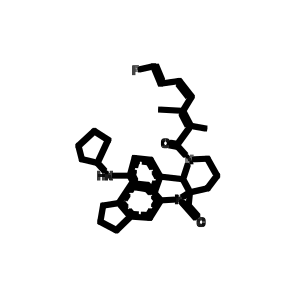 CC(/C=C\C=C\F)=C(/C)C(=O)N1CCCC2(C(=O)N2c2ccc3c(c2)CCC3)C1c1ccc(NC2CCCC2)cc1